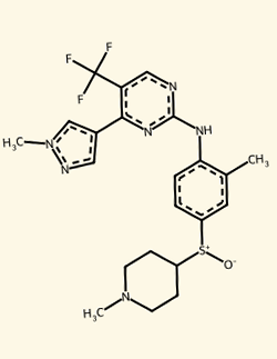 Cc1cc([S+]([O-])C2CCN(C)CC2)ccc1Nc1ncc(C(F)(F)F)c(-c2cnn(C)c2)n1